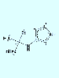 CCCCCCC(C)(CC)Nc1cnoc1